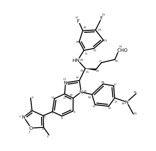 Cc1noc(C)c1-c1ccc2c(c1)nc([C@H](CCCC=O)Nc1ccc(F)c(F)c1)n2-c1ccc(N(C)C)cc1